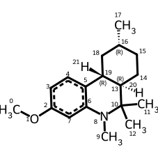 COc1ccc2c(c1)N(C)C(C)(C)[C@@H]1CC[C@@H](C)C[C@@H]21